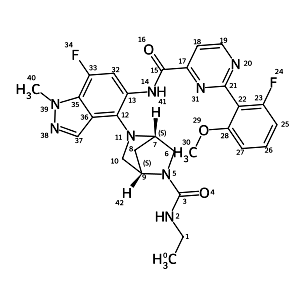 CCNC(=O)N1C[C@@H]2C[C@H]1CN2c1c(NC(=O)c2ccnc(-c3c(F)cccc3OC)n2)cc(F)c2c1cnn2C